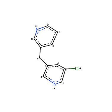 Clc1cncc([CH]c2cccnc2)c1